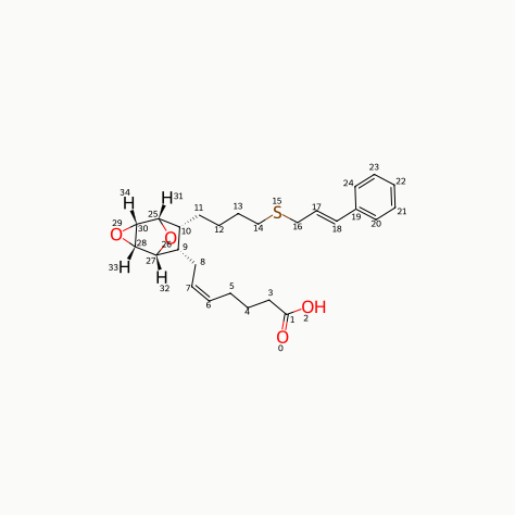 O=C(O)CCC/C=C\C[C@H]1[C@@H](CCCCSCC=Cc2ccccc2)[C@@H]2O[C@H]1[C@@H]1O[C@@H]12